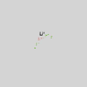 [B+3].[F-].[F-].[F-].[F-].[Li+]